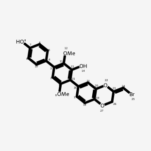 COc1cc(-c2ccc(O)cc2)c(OC)c(O)c1-c1ccc2c(c1)OC(=CBr)CO2